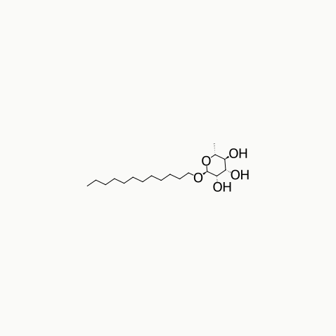 CCCCCCCCCCCCO[C@H]1O[C@H](C)[C@@H](O)[C@H](O)[C@@H]1O